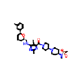 CC1=CC=CC([C@@H]2CCC[C@H](CNc3nc(C)nc(C(=O)N4CCC(N5CCC(N(C)S(C)(=O)=O)CC5)CC4)c3C)O2)C1